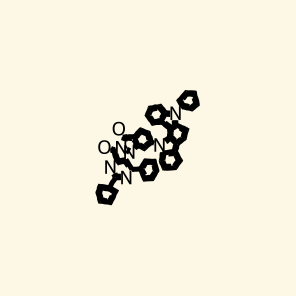 O=c1c2ccc(-n3c4ccccc4c4ccc5c(c6ccccc6n5-c5ccccc5)c43)cc2n2c3c(-c4ccccc4)nc(-c4ccccc4)nc3c(=O)n12